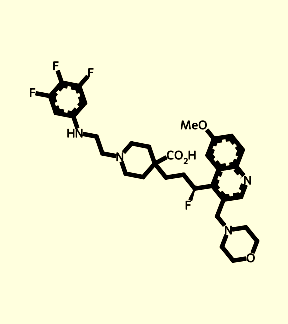 COc1ccc2ncc(CN3CCOCC3)c([C@@H](F)CCC3(C(=O)O)CCN(CCNc4cc(F)c(F)c(F)c4)CC3)c2c1